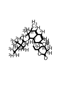 [2H]O[C@@H]1CC(CC[C@@H]2[C@@H]3C(=C([2H])[C@]([2H])(C)C([2H])([2H])C3OC(=O)C(C([2H])([2H])[2H])(C([2H])([2H])[2H])C([2H])([2H])C([2H])([2H])[2H])C([2H])=C([2H])[C@]2([2H])C)OC(=O)C1([2H])[2H]